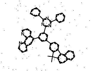 CC1(C)c2cc(-c3cc(-c4nc(-c5ccccc5)nc(-c5ccccc5)n4)cc(-c4cc5cccnc5c5ncccc45)c3)ccc2-c2c1ccc1ccccc21